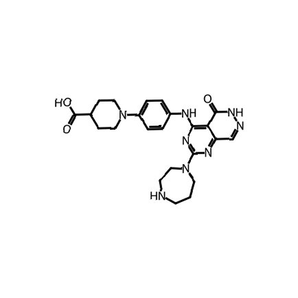 O=C(O)C1CCN(c2ccc(Nc3nc(N4CCCNCC4)nc4cn[nH]c(=O)c34)cc2)CC1